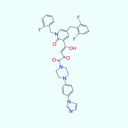 O=C(C=C(O)c1cc(Cc2c(F)cccc2F)cn(Cc2ccccc2F)c1=O)C(=O)N1CCN(c2ccc(-n3ccnc3)cc2)CC1